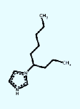 CCCCCC(CCC)[n+]1cc[nH]c1